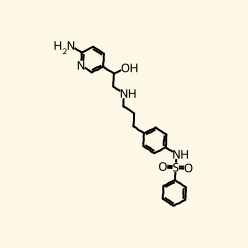 Nc1ccc(C(O)CNCCCc2ccc(NS(=O)(=O)c3ccccc3)cc2)cn1